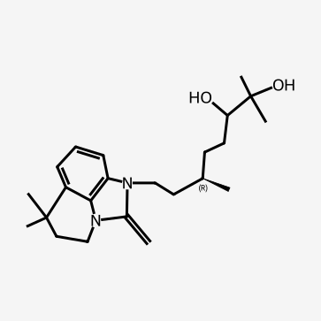 C=C1N(CC[C@H](C)CCC(O)C(C)(C)O)c2cccc3c2N1CCC3(C)C